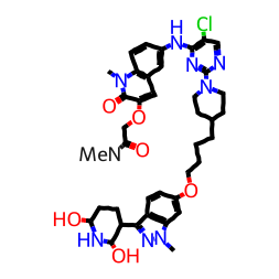 CNC(=O)COc1cc2cc(Nc3nc(N4CCC(CCCCOc5ccc6c(C7CCC(O)NC7O)nn(C)c6c5)CC4)ncc3Cl)ccc2n(C)c1=O